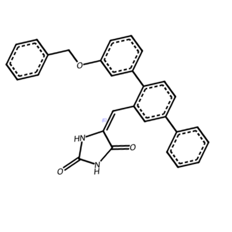 O=C1NC(=O)/C(=C\c2cc(-c3ccccc3)ccc2-c2cccc(OCc3ccccc3)c2)N1